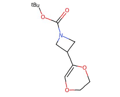 CC(C)(C)OC(=O)N1CC(C2=COCCO2)C1